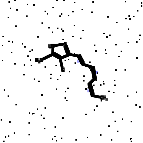 C\C=C/C=C\C=C\c1n[nH]c(N)c1Cl